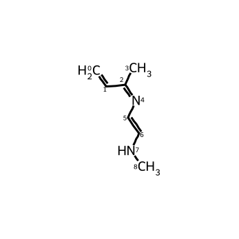 C=C/C(C)=N\C=C\NC